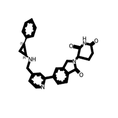 O=C1CCC(N2Cc3cc(-c4cc(CN[C@@H]5C[C@H]5c5ccccc5)ccn4)ccc3C2=O)C(=O)N1